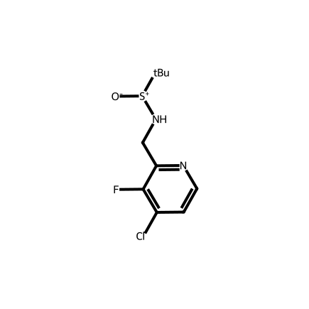 CC(C)(C)[S+]([O-])NCc1nccc(Cl)c1F